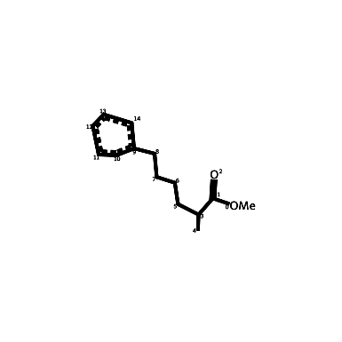 COC(=O)C(C)CCCCc1ccccc1